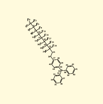 FC(F)(F)C(F)(F)C(F)(F)C(F)(F)C(F)(F)C(F)(F)C(F)(F)C(F)(F)CCc1ccc(P(c2ccccc2)c2ccccc2)cc1